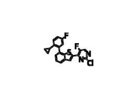 Fc1ccc(C2CC2)c(-c2cccc3cc(-c4nc(Cl)ncc4F)sc23)c1